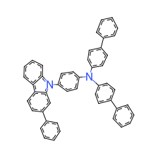 c1ccc(-c2ccc(N(c3ccc(-c4ccccc4)cc3)c3ccc(-n4c5ccccc5c5ccc(-c6ccccc6)cc54)cc3)cc2)cc1